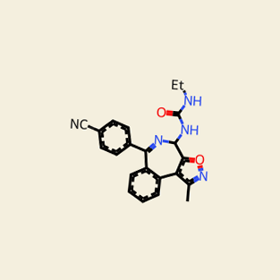 CCNC(=O)NC1N=C(c2ccc(C#N)cc2)c2ccccc2-c2c(C)noc21